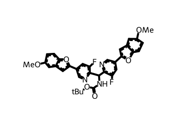 COc1ccc2oc(-c3cnc(C(NC(=O)OC(C)(C)C)c4ncc(-c5cc6cc(OC)ccc6o5)cc4F)c(F)c3)cc2c1